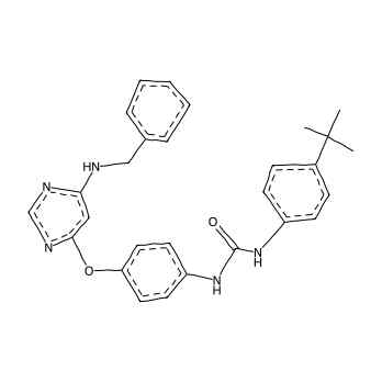 CC(C)(C)c1ccc(NC(=O)Nc2ccc(Oc3cc(NCc4ccccc4)ncn3)cc2)cc1